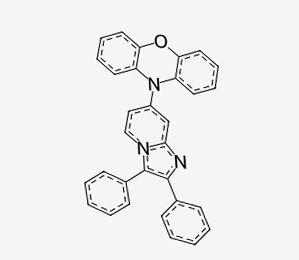 c1ccc(-c2nc3cc(N4c5ccccc5Oc5ccccc54)ccn3c2-c2ccccc2)cc1